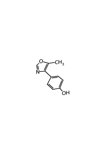 Cc1ocnc1-c1ccc(O)cc1